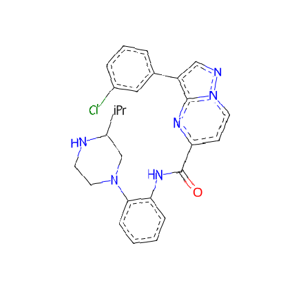 CC(C)C1CN(c2ccccc2NC(=O)c2ccn3ncc(-c4cccc(Cl)c4)c3n2)CCN1